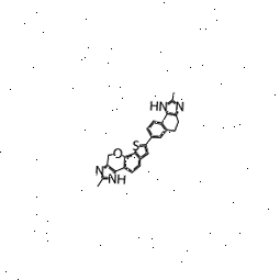 Cc1nc2c([nH]1)-c1ccc(-c3cc4ccc5c(c4s3)OCc3nc(C)[nH]c3-5)cc1CC2